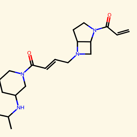 C=CC(=O)N1CCC2C1CN2C/C=C/C(=O)N1CCCC(NC(C)C)C1